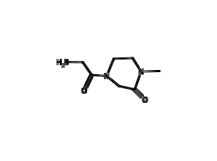 BCC(=O)N1CCN(C)C(=O)C1